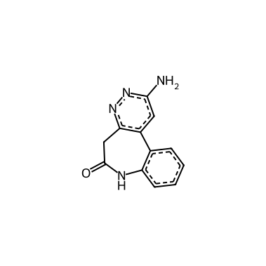 Nc1cc2c(nn1)CC(=O)Nc1ccccc1-2